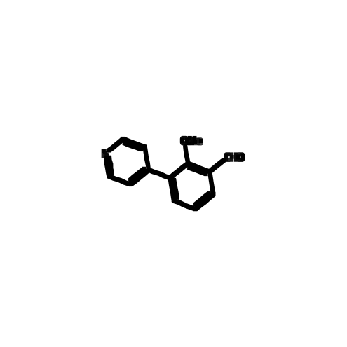 COc1c(C=O)cccc1-c1ccncc1